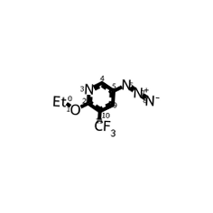 CCOc1ncc(N=[N+]=[N-])cc1C(F)(F)F